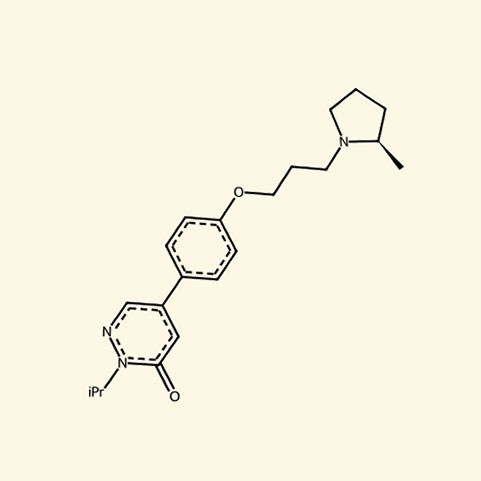 CC(C)n1ncc(-c2ccc(OCCCN3CCC[C@H]3C)cc2)cc1=O